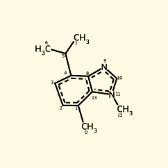 Cc1ccc(C(C)C)c2ncn(C)c12